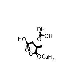 C=C(CC(=O)O)C(=O)O.O=C(O)O.[CaH2]